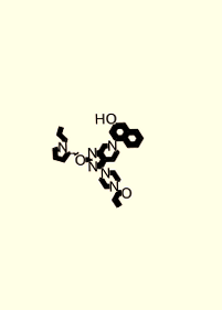 C=CC(=O)N1CCN(c2nc(OC[C@@H]3CCCN3CCC)nc3c2CCN(c2cc(O)cc4ccccc24)C3)CC1